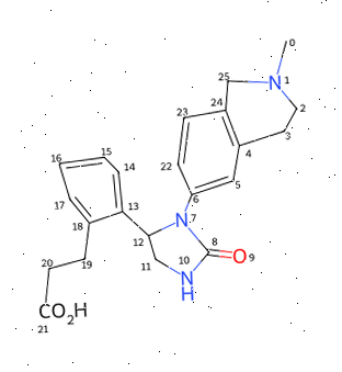 CN1CCc2cc(N3C(=O)NCC3c3ccccc3CCC(=O)O)ccc2C1